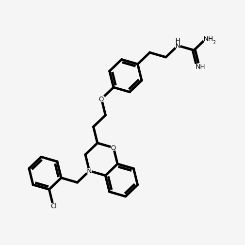 N=C(N)NCCc1ccc(OCCC2CN(Cc3ccccc3Cl)c3ccccc3O2)cc1